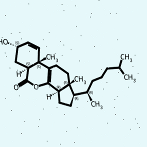 CC(C)CCC[C@@H](C)[C@H]1CC[C@H]2C3=C(CC[C@]12C)[C@@]1(C)C=C[C@@H](O)C[C@@H]1C(=O)O3